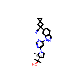 C[C@@H]1[C@H](C(C)(C)O)CCN1c1cc(-n2ncc3ccc(C4(C#N)CC5(CC5)C4)cc32)ncn1